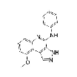 COc1cccc2nc(Nc3cc[c]cc3)c3[nH]ncc3c12